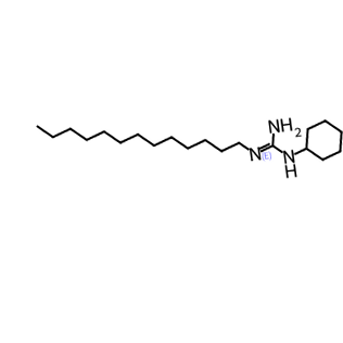 CCCCCCCCCCCCC/N=C(\N)NC1CCCCC1